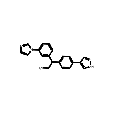 NCC(c1ccc(-c2cn[nH]c2)cc1)c1cccc(-n2ccnc2)c1